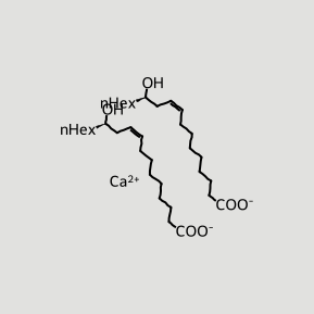 CCCCCC[C@@H](O)C/C=C\CCCCCCCC(=O)[O-].CCCCCC[C@@H](O)C/C=C\CCCCCCCC(=O)[O-].[Ca+2]